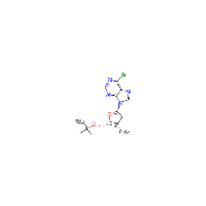 CC(=O)O[C@H]1C[C@H](n2cnc3c(Br)ncnc32)O[C@H]1CO[Si](C)(C)C(C)(C)C